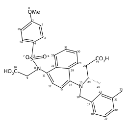 COc1ccc(S(=O)(=O)N(CC(=O)O)c2ccc(N(Cc3cccc(C)c3)[C@@H](C)CC(=O)O)c3ccccc23)cc1